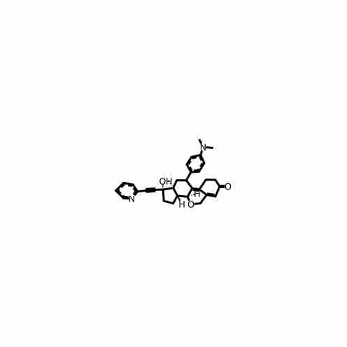 CN(C)c1ccc(C2C[C@@]3(C)[C@@H](CC[C@@]3(O)C#Cc3ccccn3)[C@@H]3OCC4=CC(=O)CCC4=C23)cc1